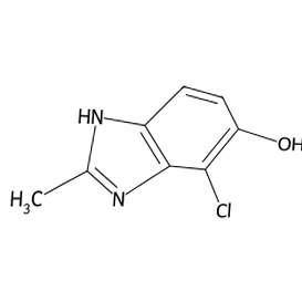 Cc1nc2c(Cl)c(O)ccc2[nH]1